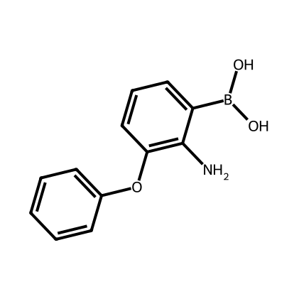 Nc1c(Oc2ccccc2)cccc1B(O)O